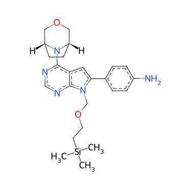 C[Si](C)(C)CCOCn1c(-c2ccc(N)cc2)cc2c(N3[C@@H]4CC[C@H]3COC4)ncnc21